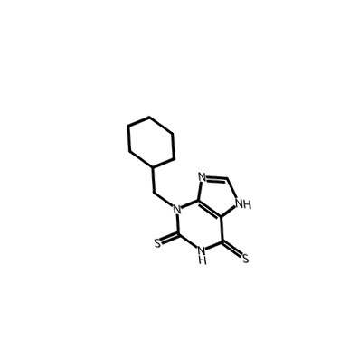 S=c1[nH]c(=S)n(CC2CCCCC2)c2nc[nH]c12